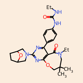 CCNC(=O)Nc1ccc(-c2nc(N3CC4CCC(C3)O4)nc3c2C(=O)N(CC)CC(C)(C)CO3)cc1